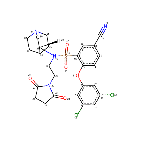 N#Cc1ccc(Oc2cc(Cl)cc(Cl)c2)c(S(=O)(=O)N(CCN2C(=O)CCC2=O)[C@H]2CN3CCC2CC3)c1